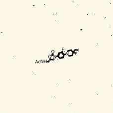 CC(=O)NCC1CN(c2ccc(N3CCC(F)(CI)CC3)c(F)c2)C(=O)O1